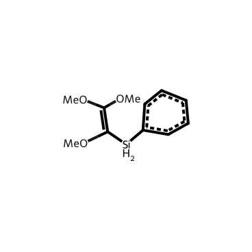 COC(OC)=C(OC)[SiH2]c1ccccc1